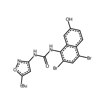 CC(C)(C)c1cc(NC(=O)Nc2c(Br)cc(Br)c3ccc(O)cc23)no1